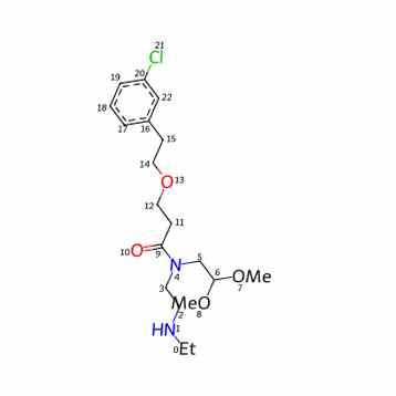 CCNCCN(CC(OC)OC)C(=O)CCOCCc1cccc(Cl)c1